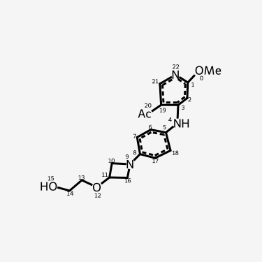 COc1cc(Nc2ccc(N3CC(OCCO)C3)cc2)c(C(C)=O)cn1